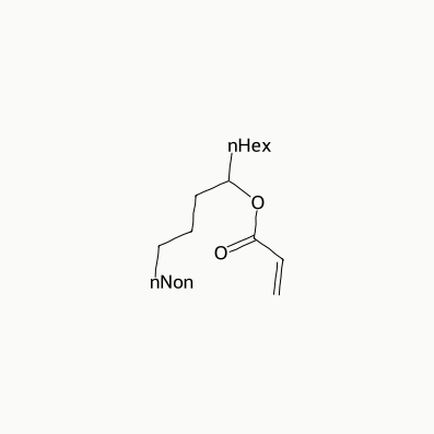 C=CC(=O)OC(CCCCCC)CCCCCCCCCCCC